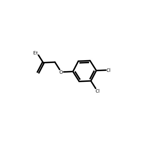 C=C(CC)COc1ccc(Cl)c(Cl)c1